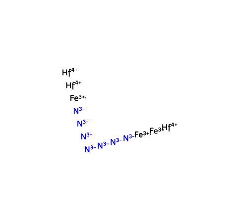 [Fe+3].[Fe+3].[Fe+3].[Hf+4].[Hf+4].[Hf+4].[N-3].[N-3].[N-3].[N-3].[N-3].[N-3].[N-3]